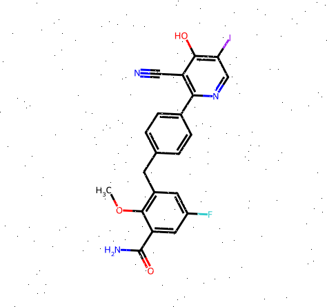 COc1c(Cc2ccc(-c3ncc(I)c(O)c3C#N)cc2)cc(F)cc1C(N)=O